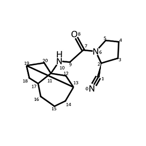 N#C[C@@H]1CCCN1C(=O)CNC12CC3CCCC1CC3C2